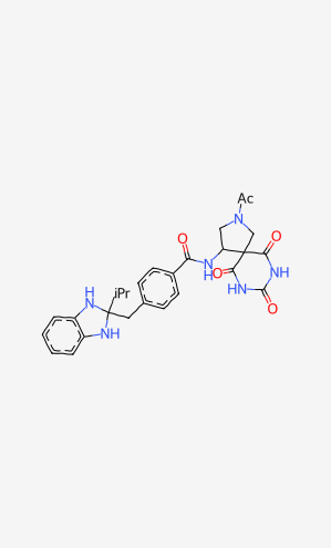 CC(=O)N1CC(NC(=O)c2ccc(CC3(C(C)C)Nc4ccccc4N3)cc2)C2(C1)C(=O)NC(=O)NC2=O